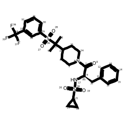 CC(C)(C1CCN(C(=O)[C@@H](Cc2ccccc2)NS(=O)(=O)C2CC2)CC1)S(=O)(=O)c1cccc(C(F)(F)F)c1